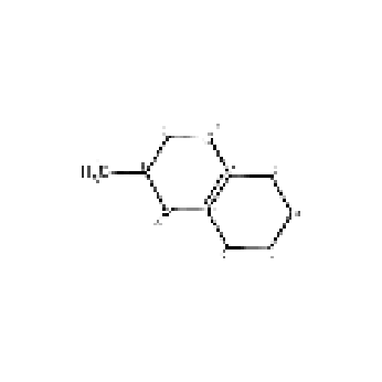 CC1CSC2=C(CCCC2)S1